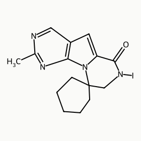 Cc1ncc2cc3n(c2n1)C1(CCCCC1)CN(I)C3=O